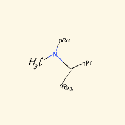 CCCCC(CCC)N(C)CCCC